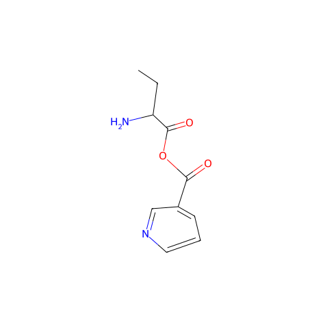 CCC(N)C(=O)OC(=O)c1cccnc1